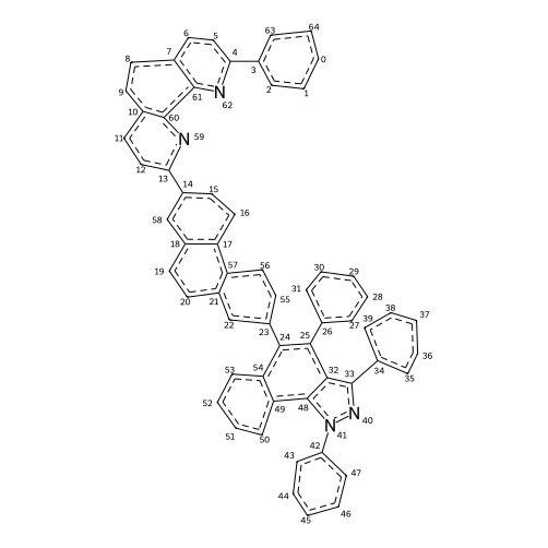 c1ccc(-c2ccc3ccc4ccc(-c5ccc6c(ccc7cc(-c8c(-c9ccccc9)c9c(-c%10ccccc%10)nn(-c%10ccccc%10)c9c9ccccc89)ccc76)c5)nc4c3n2)cc1